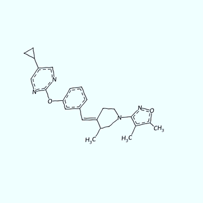 Cc1onc(N2CC/C(=C\c3cccc(Oc4ncc(C5CC5)cn4)c3)C(C)C2)c1C